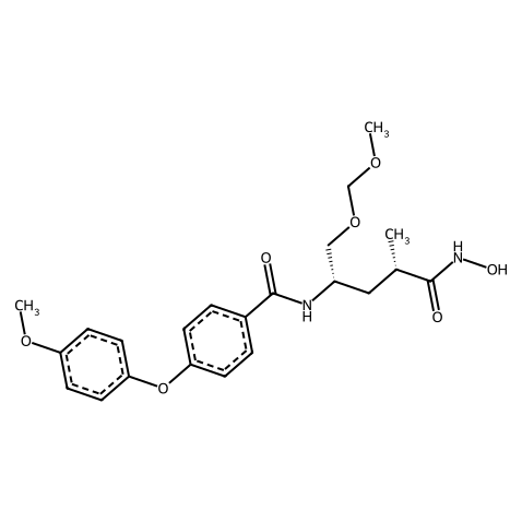 COCOC[C@H](C[C@H](C)C(=O)NO)NC(=O)c1ccc(Oc2ccc(OC)cc2)cc1